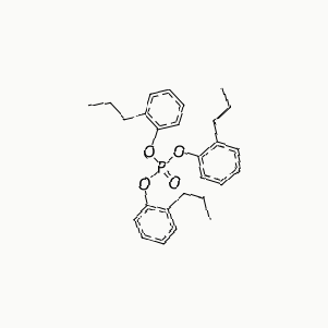 CCCc1ccccc1OP(=O)(Oc1ccccc1CCC)Oc1ccccc1CCC